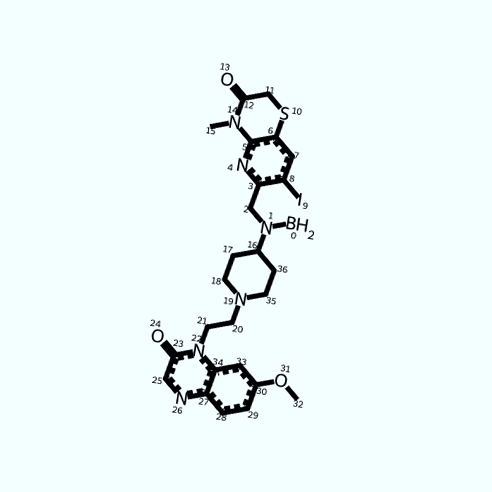 BN(Cc1nc2c(cc1I)SCC(=O)N2C)C1CCN(CCn2c(=O)cnc3ccc(OC)cc32)CC1